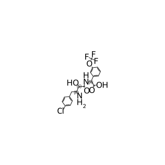 N[C@H](Cc1ccc(Cl)cc1)[C@H](O)C(=O)N[C@@H](C(=O)O)c1cccc(OC(F)(F)F)c1